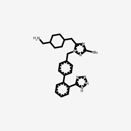 CC(C)(C)c1nc(CC2CCC(CN)CC2)n(Cc2ccc(-c3ccccc3-c3nnn[nH]3)cc2)n1